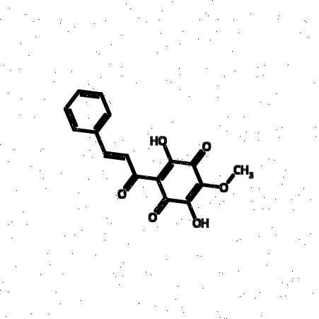 COC1=C(O)C(=O)C(C(=O)C=Cc2ccccc2)=C(O)C1=O